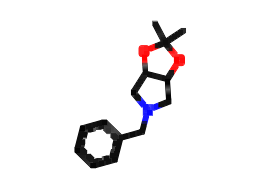 CC1(C)OC2CN(Cc3ccccc3)CC2O1